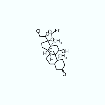 CCC(=O)O[C@]1(C(=O)CCl)CC[C@H]2[C@@H]3CCC4CC(=O)CC[C@]4(C)[C@@]3(Cl)C(O)C[C@@]21C